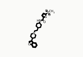 CS(=O)(=O)c1ccc(C(=O)NC2CCC(CCN3CCC(c4coc5ccccc45)CC3)CC2)s1